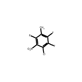 Cc1c(F)c(F)c(Cl)c([N+](=O)[O-])c1F